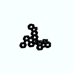 CC1(C)c2ccccc2-c2cccc(-c3ccc(N(c4ccc5sc6ccccc6c5c4)c4cccc(-c5ccccc5)c4-c4ccccc4-c4ccccc4)cc3)c21